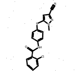 Cn1nc(C#N)cc1Sc1ccc(NC(=O)c2ccccc2Cl)cc1